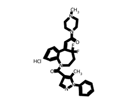 Cc1c(C(=O)N2CCC(F)(F)C(=CC(=O)N3CCN(C)CC3)c3ccccc32)cnn1-c1ccccc1.Cl